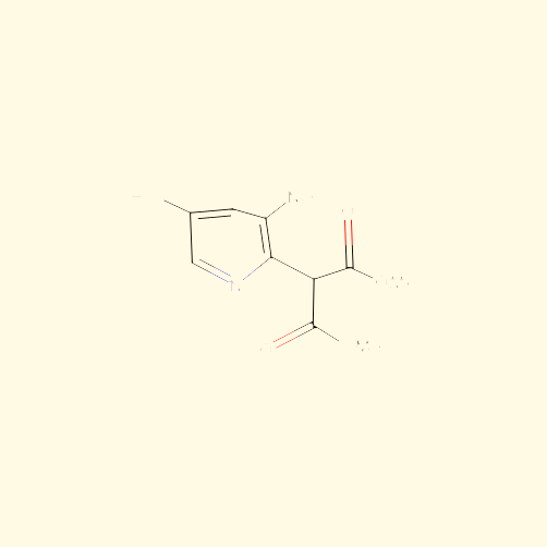 COC(=O)C(C(=O)OC)c1ncc(C)cc1[N+](=O)[O-]